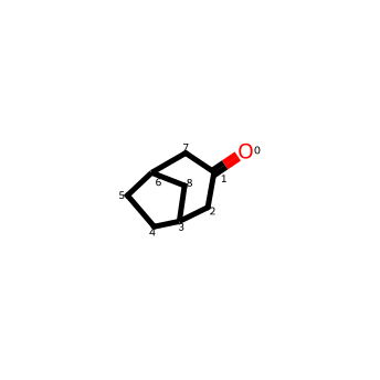 O=C1CC2CCC(C1)C2